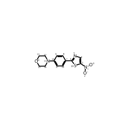 O=[N+]([O-])c1cnc(-c2ccc(N3CCOCC3)cc2)s1